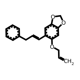 C=CCOc1cc2c(cc1C=CCc1ccccc1)OCO2